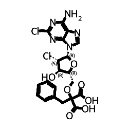 Nc1nc(Cl)nc2c1ncn2[C@@H]1O[C@H](COC(Cc2ccccc2)(C(=O)O)C(=O)O)[C@@H](O)[C@@H]1Cl